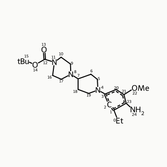 CCc1cc(N2CCC(N3CCN(C(=O)OC(C)(C)C)CC3)CC2)cc(OC)c1N